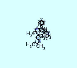 C=C(/C=C\C=C/C(C)CC)OC(=C)/C=C\c1cn2c(C)c(/C=C\C)nc2n1-c1ccccn1